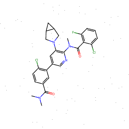 CN(C)C(=O)c1ccc(Cl)c(-c2cnc(N(C)C(=O)c3c(F)cccc3Cl)c(N3CC4CC4C3)c2)c1